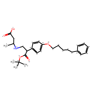 CC(CC(=O)O)NCC(C(=O)OC(C)(C)C)c1ccc(OCCCCCc2ccccc2)cc1